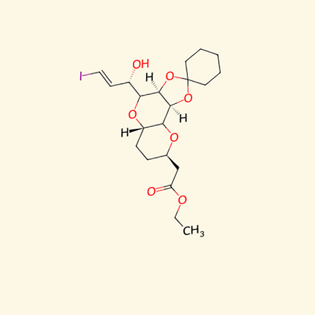 CCOC(=O)C[C@H]1CC[C@@H]2OC([C@@H](O)/C=C/I)[C@H]3OC4(CCCCC4)O[C@H]3C2O1